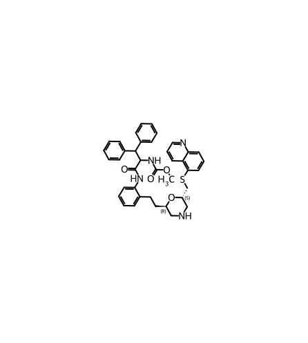 COC(=O)NC(C(=O)Nc1ccccc1CC[C@@H]1CNC[C@@H](CSc2cccc3ncccc23)O1)C(c1ccccc1)c1ccccc1